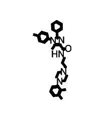 Cc1ccc(-n2c(-c3ccccc3)nc(C(=O)NCCCN3CCN(c4cccc(C)c4C)CC3)c2C)cc1